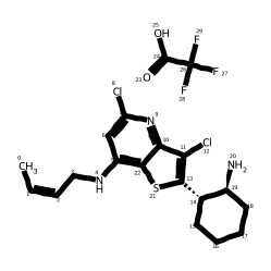 C/C=C\CNc1cc(Cl)nc2c(Cl)c([C@H]3CCCC[C@@H]3N)sc12.O=C(O)C(F)(F)F